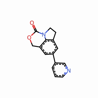 O=C1OCc2cc(-c3cccnc3)cc3c2N1CC3